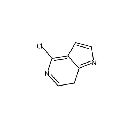 ClC1=C2C=CN=C2CC=N1